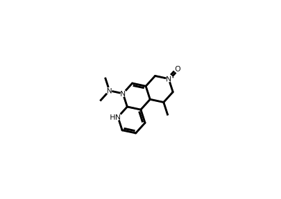 CC1C[N+](=O)CC2=CN(N(C)C)C3NC=CC=C3C21